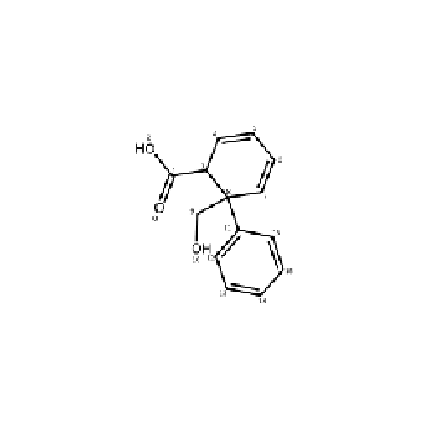 O=C(O)C1C=CC=CC1(CO)c1ccccc1